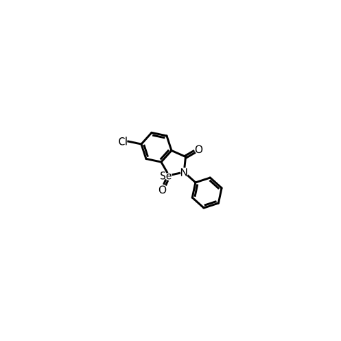 O=C1c2ccc(Cl)cc2[Se](=O)N1c1ccccc1